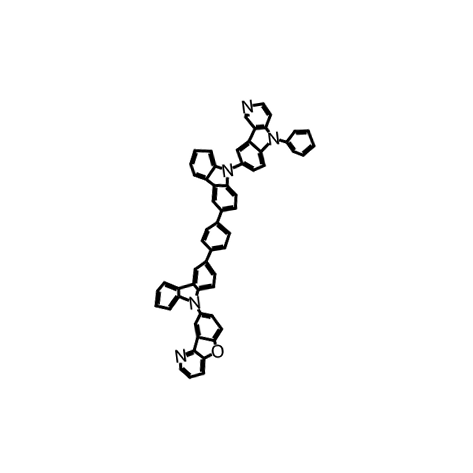 c1ccc(-n2c3ccncc3c3cc(-n4c5ccccc5c5cc(-c6ccc(-c7ccc8c(c7)c7ccccc7n8-c7ccc8oc9cccnc9c8c7)cc6)ccc54)ccc32)cc1